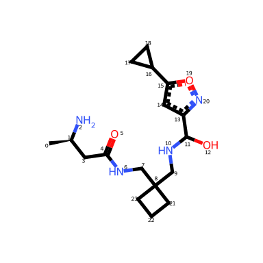 C[C@@H](N)CC(=O)NCC1(CNC(O)c2cc(C3CC3)on2)CCC1